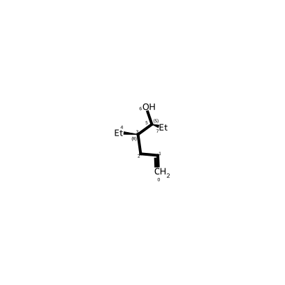 C=CC[C@@H](CC)[C@@H](O)CC